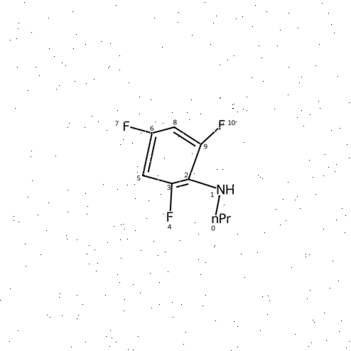 CCCNc1c(F)cc(F)cc1F